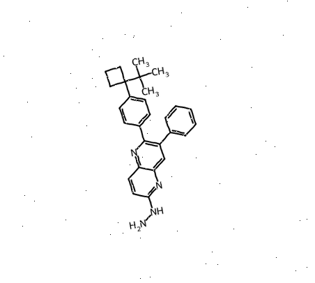 CC(C)(C)C1(c2ccc(-c3nc4ccc(NN)nc4cc3-c3ccccc3)cc2)CCC1